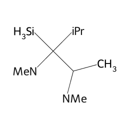 CNC(C)C([SiH3])(NC)C(C)C